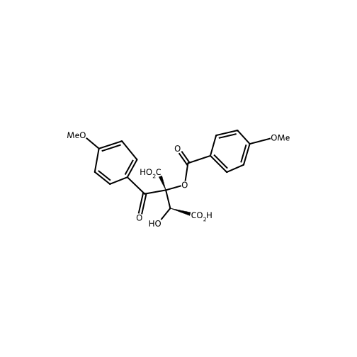 COc1ccc(C(=O)O[C@@](C(=O)O)(C(=O)c2ccc(OC)cc2)[C@H](O)C(=O)O)cc1